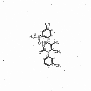 [C-]#[N+]C1=C(C)N(c2cccc(C(F)(F)F)c2)C(=O)N[C@@H]1c1ccc(C#N)cc1[S@@+](C)[O-]